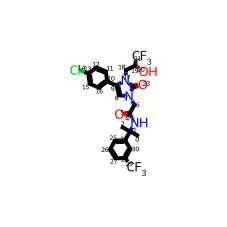 CC(C)(NC(=O)Cn1cc(-c2ccc(Cl)cc2)n(CC(O)C(F)(F)F)c1=O)c1cccc(C(F)(F)F)c1